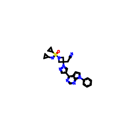 N#CCC1(n2cc(-c3ncnc4c3ccn4-c3ccccc3)cn2)CN(S(=O)(=NC2CC2)C2CC2)C1